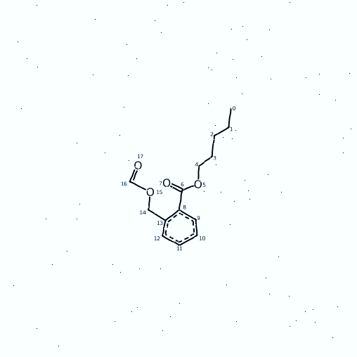 CCCCCOC(=O)c1ccccc1COC=O